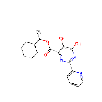 CC(OC(=O)c1nc(-c2ccccn2)nc(O)c1O)C1CCCCC1